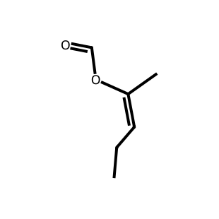 CCC=C(C)OC=O